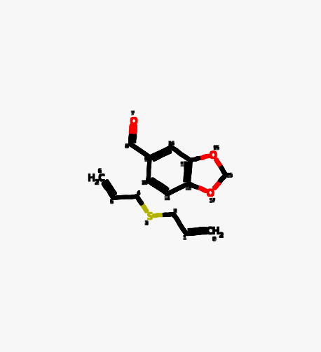 C=CCSCC=C.O=Cc1ccc2c(c1)OCO2